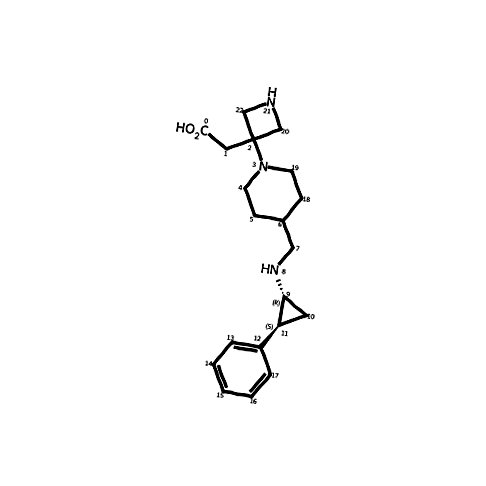 O=C(O)CC1(N2CCC(CN[C@@H]3C[C@H]3c3ccccc3)CC2)CNC1